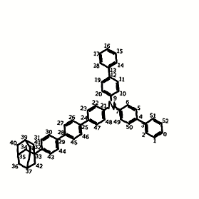 c1ccc(-c2ccc(N(c3ccc(-c4ccccc4)cc3)c3ccc(-c4ccc(-c5ccc(C67CC8CC(CC(C8)C6)C7)cc5)cc4)cc3)cc2)cc1